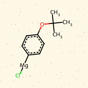 CC(C)(C)Oc1cc[c]([Mg][Cl])cc1